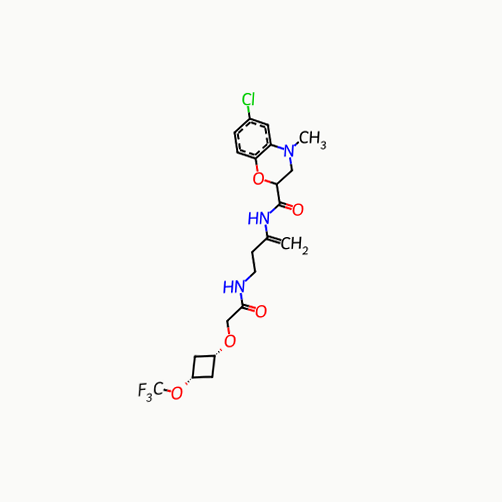 C=C(CCNC(=O)CO[C@H]1C[C@@H](OC(F)(F)F)C1)NC(=O)C1CN(C)c2cc(Cl)ccc2O1